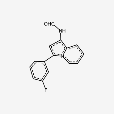 O=CNc1cc(-c2cccc(F)c2)n2ccccc12